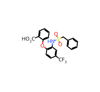 O=C(O)c1ccccc1Oc1ccc(C(F)(F)F)cc1NS(=O)(=O)Cc1ccccc1